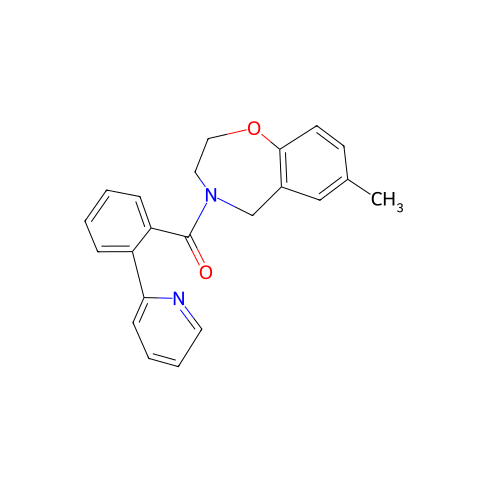 Cc1ccc2c(c1)CN(C(=O)c1ccccc1-c1ccccn1)CCO2